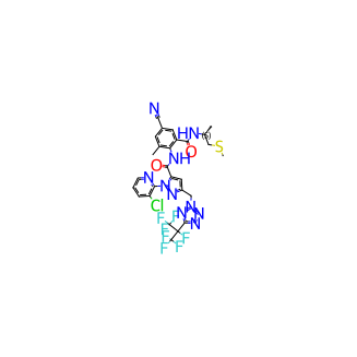 CSC[C@H](C)NC(=O)c1cc(C#N)cc(C)c1NC(=O)c1cc(Cn2nnc(C(F)(C(F)(F)F)C(F)(F)F)n2)nn1-c1ncccc1Cl